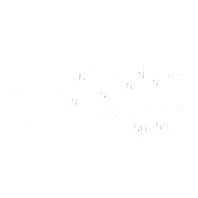 CCCN1NN(c2ccn3cc(-c4ccccc4)nc3n2)C(C(N)=O)=C1C(N)=O